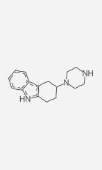 c1ccc2c3c([nH]c2c1)CCC(N1CCNCC1)C3